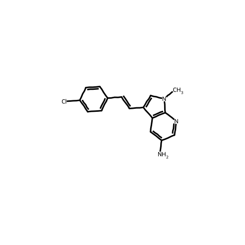 Cn1cc(/C=C/c2ccc(Cl)cc2)c2cc(N)cnc21